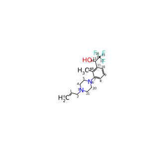 C=CCN1CCN(c2cccc(C(O)C(F)(F)F)c2C)CC1